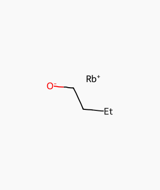 CCCC[O-].[Rb+]